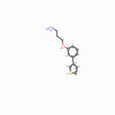 NCCCOc1cccc(-c2ccsc2)c1